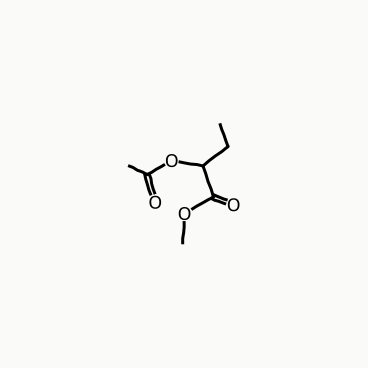 CCC(OC(C)=O)C(=O)OC